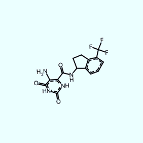 Nc1c(C(=O)NC2CCc3c2cccc3C(F)(F)F)[nH]c(=O)[nH]c1=O